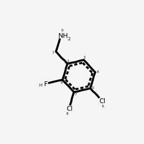 NCc1ccc(Cl)c(Cl)c1F